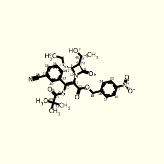 CCS[C@@H]1[C@@H]([C@@H](C)O)C(=O)N1C(C(=O)OCc1ccc([N+](=O)[O-])cc1)=C(SC(=O)C(C)(C)C)c1cccc(C#N)c1